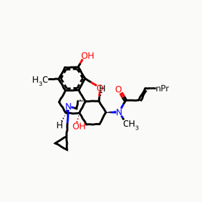 CCCC=CC(=O)N(C)[C@H]1CC[C@@]2(O)[C@H]3Cc4c(C)cc(O)c5c4[C@@]2(CCN3C2CC2)[C@H]1O5